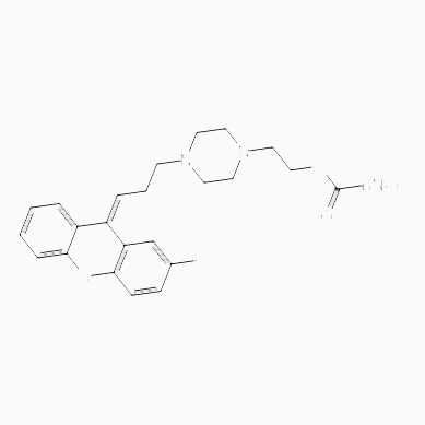 CCCCCCCCCC(=O)OCCN1CCN(CC/C=C2/c3ccccc3Sc3ccc(Cl)cc32)CC1